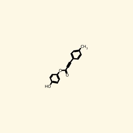 Cc1ccc(C#CC(=O)Oc2ccc(O)cc2)cc1